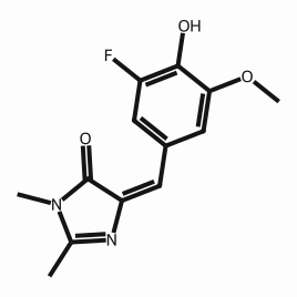 COc1cc(C=C2N=C(C)N(C)C2=O)cc(F)c1O